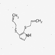 C=CCSc1cc[nH]c1SCC=C